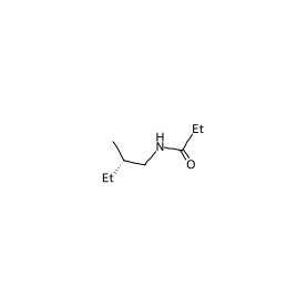 CCC(=O)NC[C@@H](C)CC